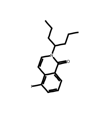 CCCC(CCC)n1ccc2c(I)cccc2c1=O